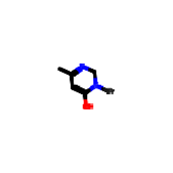 CC1=NCN(C(C)C)C(O)=C1